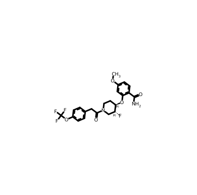 COc1ccc(C(N)=O)c(O[C@@H]2CCN(C(=O)Cc3ccc(OC(F)(F)F)cc3)C[C@H]2F)c1